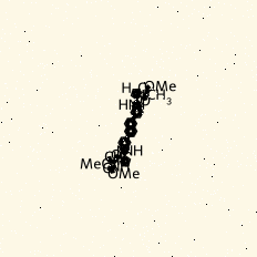 COC(=O)N[C@H](C(=O)N1CCC[C@H]1c1nc2ccc(-c3ccc4cc(-c5ccc6nc([C@@H]7CCCN7C(=O)C(C)C(C)OC)[nH]c6c5)ccc4c3)cc2[nH]1)[C@@H](C)OC